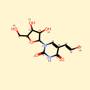 O=c1[nH]c(=O)n(C2OC(CO)C(O)C2O)cc1/C=C/Br